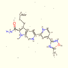 COCCc1c(C(N)=O)n(C)c2cnc(-c3cc(-c4noc(C(F)(F)F)n4)ccn3)cc12